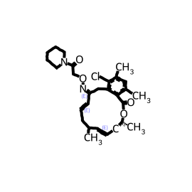 Cc1cc(C)c2c(c1Cl)CC(=N\OCC(=O)N1CCCCC1)/C=C/CC(C)/C=C/C[C@@H](C)OC2=O